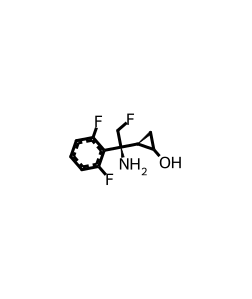 N[C@](CF)(c1c(F)cccc1F)[C@H]1CC1O